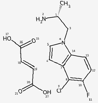 C[C@@H](N)Cn1ccc2c(Cl)c(F)ccc21.O=C(O)C=CC(=O)O